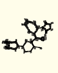 CC1CCC(c2cn[nH]c2)CN1C(=O)c1ccccc1-n1nccn1